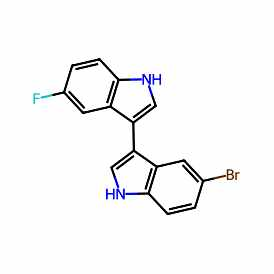 Fc1ccc2[nH]cc(-c3c[nH]c4ccc(Br)cc34)c2c1